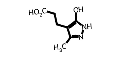 Cc1n[nH]c(O)c1CCC(=O)O